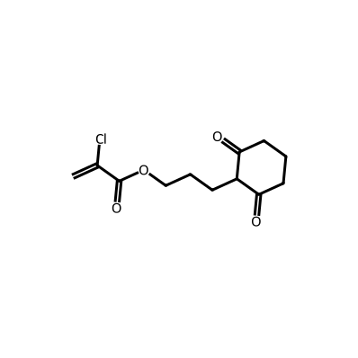 C=C(Cl)C(=O)OCCCC1C(=O)CCCC1=O